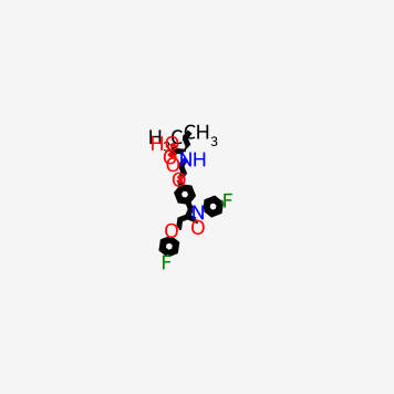 CC(C)C[C@@H](NC(=O)COc1ccc(C2C(CCOc3ccc(F)cc3)C(=O)N2c2ccc(F)cc2)cc1)C(=O)O